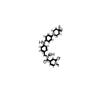 Cn1ccc(C(=O)N(O)Cc2ccc(Nc3ccc(N4CCC(F)(F)CC4)cc3)cc2)cc1=O